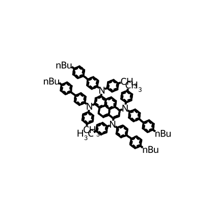 CCCCc1ccc(-c2ccc(N(C3=CC(N(c4ccc(C)cc4)c4ccc(-c5ccc(CCCC)cc5)cc4)c4ccc5c(N(c6ccc(C)cc6)c6ccc(-c7ccc(CCCC)cc7)cc6)cc(N(c6ccc(C)cc6)c6ccc(-c7ccc(CCCC)cc7)cc6)c6c5c4C3=CC6)c3ccc(C)cc3)cc2)cc1